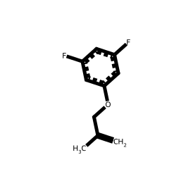 C=C(C)COc1cc(F)cc(F)c1